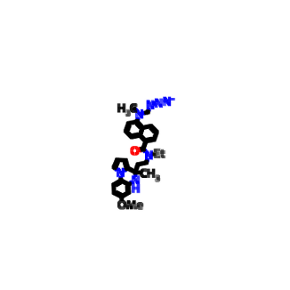 CCN(CCC1(C)Nc2cc(OC)ccc2-n2cccc21)C(=O)c1cccc2c(N(C)CN=[N+]=[N-])cccc12